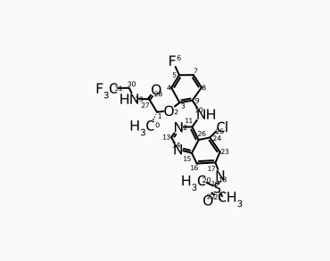 C[C@@H](Oc1cc(F)ccc1Nc1ncnc2cc(N=S(C)(C)=O)cc(Cl)c12)C(=O)NCC(F)(F)F